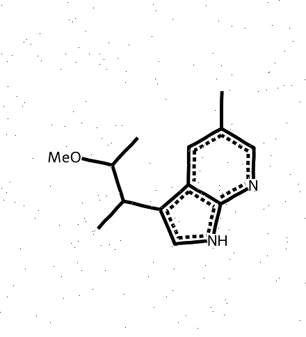 COC(C)C(C)c1c[nH]c2ncc(C)cc12